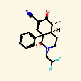 C[C@H]1C(=O)C(C#N)=C[C@@]2(c3ccccc3)C(=O)N(CC(F)F)CC[C@H]12